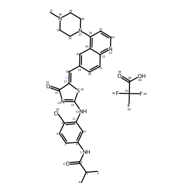 CC(C)C(=O)Nc1ccc(Cl)c(NC2=NC(=O)/C(=C/c3ccc4nccc(N5CCN(C)CC5)c4c3)S2)c1.O=C(O)C(F)(F)F